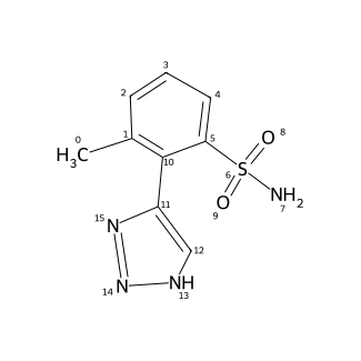 Cc1cccc(S(N)(=O)=O)c1-c1c[nH]nn1